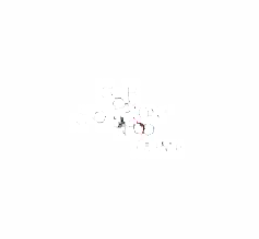 COC(=O)c1ccc(CN2CCCC2)c(NC(=O)c2[nH]c3cc(Cl)cc4c3c2-c2c(-c3ccccc3)ncn2[C@@H]4c2ccc(Cl)cc2)c1